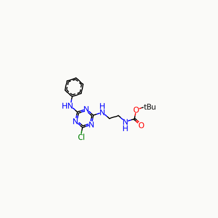 CC(C)(C)OC(=O)NCCNc1nc(Cl)nc(Nc2ccccc2)n1